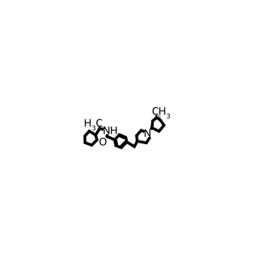 C[C@@H]1CCCC(N2CCC(Cc3ccc(C(=O)N[C@@H](C)C4CCCCC4)cc3)CC2)C1